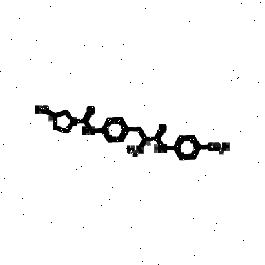 N[C@@H](Cc1ccc(NC(=O)N2CC[C@@H](O)C2)cc1)C(=O)Nc1ccc(C(=O)O)cc1